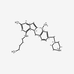 CCCCCNc1nc(C)nc2ccn(Cc3ccc(CN4CCNCC4)cc3OC)c12